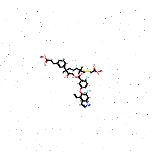 C=Cc1c(Oc2ccc(F)c(C(=O)OCC(=O)C(C)(CCCC(C)(C)CSCC(=O)OC)c3cccc(CCC(=O)OC)c3)c2)c(F)cc2[nH]ccc12